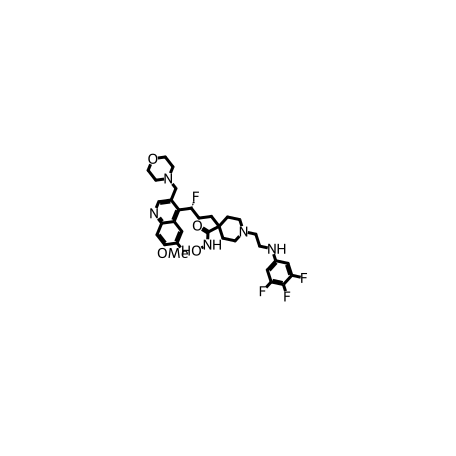 COc1ccc2ncc(CN3CCOCC3)c([C@H](F)CCC3(C(=O)NO)CCN(CCNc4cc(F)c(F)c(F)c4)CC3)c2c1